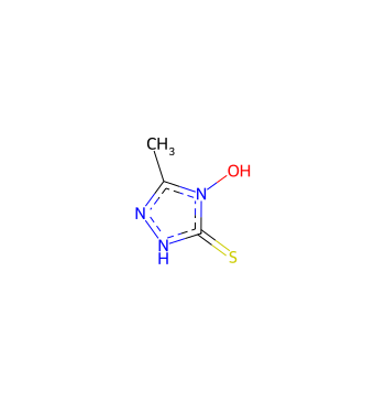 Cc1n[nH]c(=S)n1O